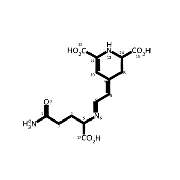 NC(=O)CCC(/N=C/C=C1\C=C(C(=O)O)NC(C(=O)O)C1)C(=O)O